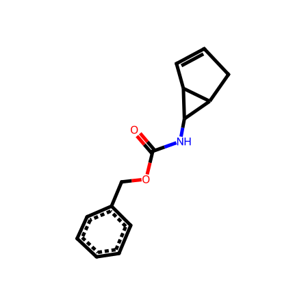 O=C(NC1C2C=CCC21)OCc1ccccc1